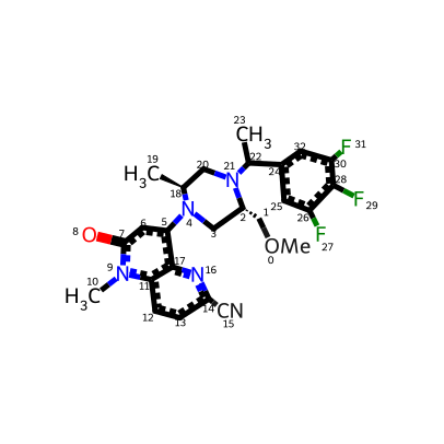 COC[C@@H]1CN(c2cc(=O)n(C)c3ccc(C#N)nc23)[C@@H](C)CN1C(C)c1cc(F)c(F)c(F)c1